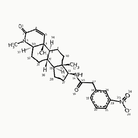 CN1C(=O)C=C[C@]2(C)[C@H]3CC[C@]4(C)[C@@H](NC(=O)Cc5cccc([N+](=O)[O-])c5)CC[C@H]4[C@@H]3CC[C@@H]12